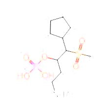 CC(=O)NCCC(OP(=O)(O)O)C(C1CCCC1)S(C)(=O)=O